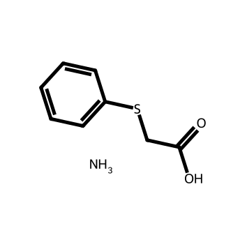 N.O=C(O)CSc1ccccc1